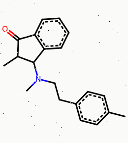 Cc1ccc(CCN(C)C2c3ccccc3C(=O)C2C)cc1